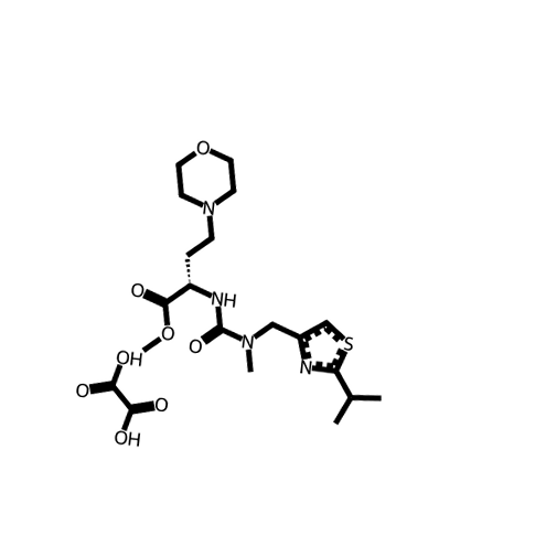 COC(=O)[C@H](CCN1CCOCC1)NC(=O)N(C)Cc1csc(C(C)C)n1.O=C(O)C(=O)O